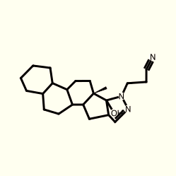 C[C@]12CCC3C4CCCCC4CCC3C1CC1C=NN(CCC#N)C12O